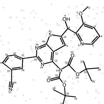 COc1cccnc1C(O)c1cc2c(N(C(=O)OC(C)(C)C)C(=O)OC(C)(C)C)nc(-c3cccc(C#N)c3)nc2s1